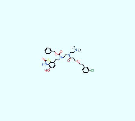 CCN(CC)CCN(CCN(CCc1ccc(O)c2[nH]c(=O)sc12)C(=O)OCc1ccccc1)C(=O)CCOCCc1cccc(Cl)c1